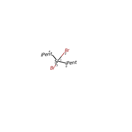 CCCC(C)[Si](Br)(Br)C(C)CCC